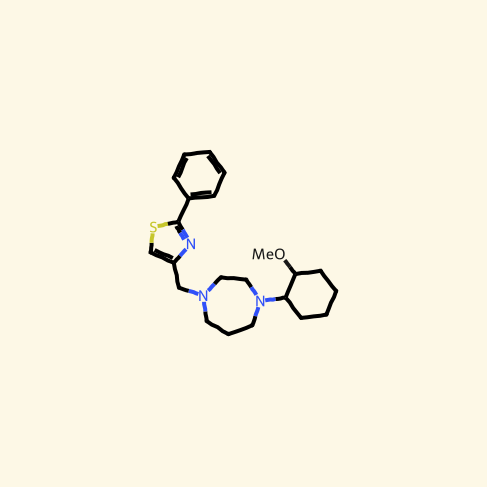 COC1CCCCC1N1CCCN(Cc2csc(-c3ccccc3)n2)CC1